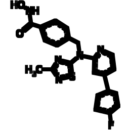 Cc1nsc(N(Cc2ccc(C(=O)NO)cc2)c2cc(-c3ccc(F)cc3)ccn2)n1